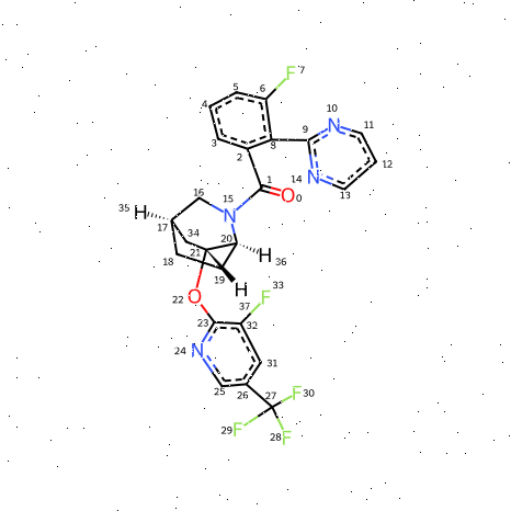 O=C(c1cccc(F)c1-c1ncccn1)N1C[C@@H]2CC[C@H]1[C@H](Oc1ncc(C(F)(F)F)cc1F)C2